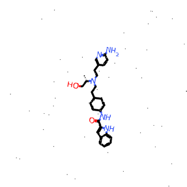 C[C@@H](CO)N(CCc1ccc(N)nc1)CCC1CCC(NC(=O)c2cc3ccccc3[nH]2)CC1